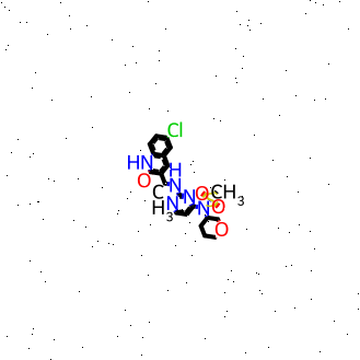 C[C@H](Nc1nccc(N(C2CCCOC2)S(C)(=O)=O)n1)c1cc2cc(Cl)ccc2[nH]c1=O